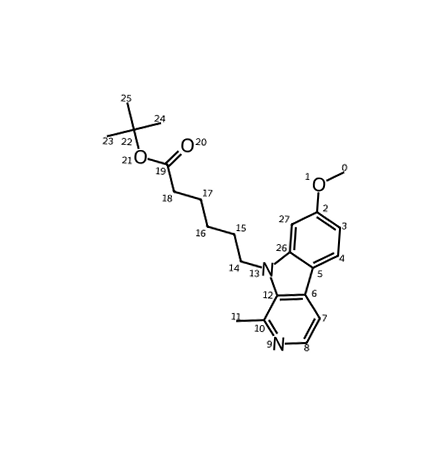 COc1ccc2c3ccnc(C)c3n(CCCCCC(=O)OC(C)(C)C)c2c1